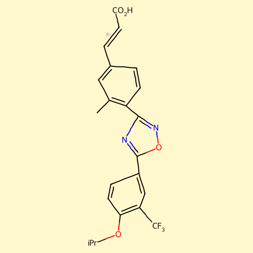 Cc1cc(/C=C/C(=O)O)ccc1-c1noc(-c2ccc(OC(C)C)c(C(F)(F)F)c2)n1